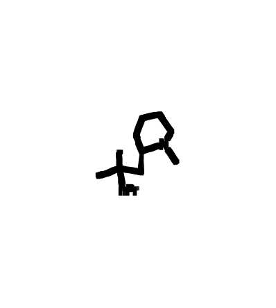 CCCC(C)(C)C[C@H]1CCCCN1C